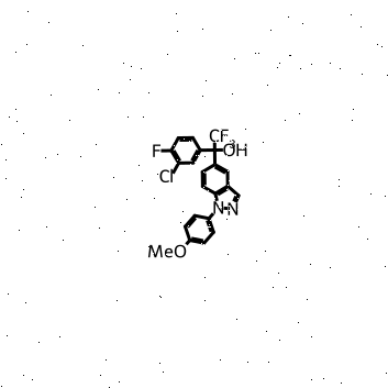 COc1ccc(-n2ncc3cc(C(O)(c4ccc(F)c(Cl)c4)C(F)(F)F)ccc32)cc1